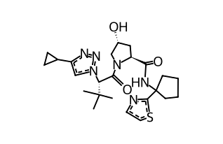 CC(C)(C)[C@@H](C(=O)N1C[C@H](O)C[C@H]1C(=O)NC1(c2nccs2)CCCC1)n1cc(C2CC2)nn1